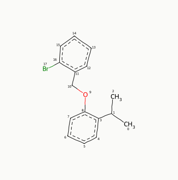 CC(C)c1ccccc1OCc1ccccc1Br